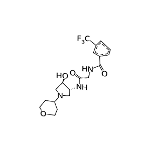 O=C(CNC(=O)c1cccc(C(F)(F)F)c1)N[C@@H]1CN(C2CCOCC2)C[C@H]1O